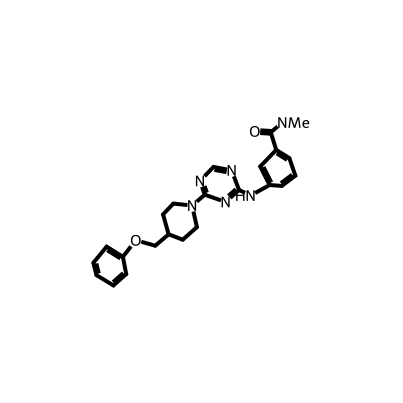 CNC(=O)c1cccc(Nc2ncnc(N3CCC(COc4ccccc4)CC3)n2)c1